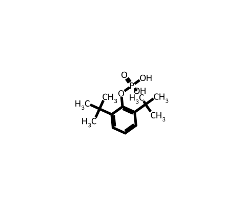 CC(C)(C)c1cccc(C(C)(C)C)c1OP(=O)(O)O